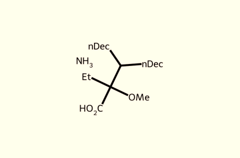 CCCCCCCCCCC(CCCCCCCCCC)C(CC)(OC)C(=O)O.N